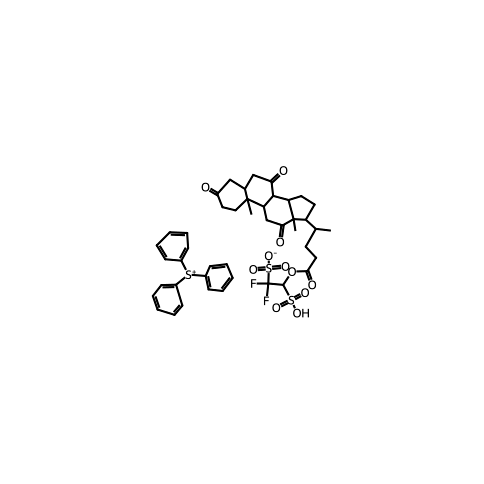 CC(CCC(=O)OC(C(F)(F)S(=O)(=O)[O-])S(=O)(=O)O)C1CCC2C3C(=O)CC4CC(=O)CCC4(C)C3CC(=O)C12C.c1ccc([S+](c2ccccc2)c2ccccc2)cc1